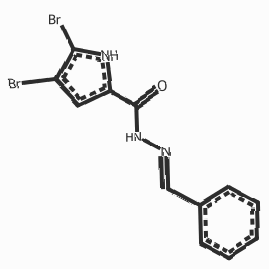 O=C(N/N=C/c1ccccc1)c1cc(Br)c(Br)[nH]1